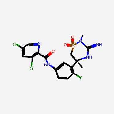 CN1C(=N)N[C@](C)(c2cc(NC(=O)c3ncc(Cl)cc3Cl)ccc2F)CS1(=O)=O